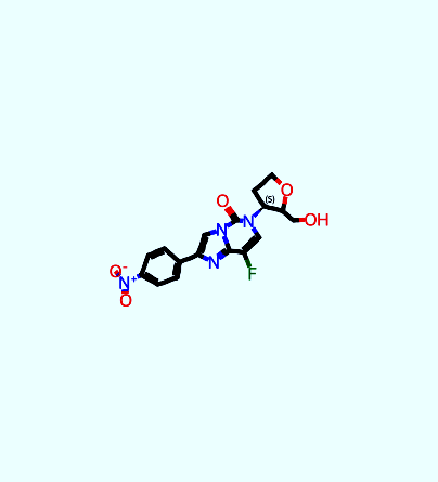 O=c1n([C@H]2CCOC2CO)cc(F)c2nc(-c3ccc([N+](=O)[O-])cc3)cn12